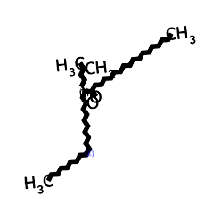 C=C(C)CCC[C@H](CC(=O)CCCCCCC/C=C\CCCCCCCC)C(=O)CCCCCCCCCCCCCCCCC